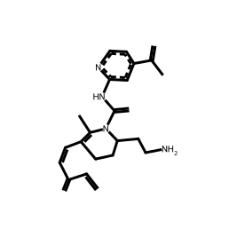 C=CC(=C)/C=C\C1=C(C)N(C(=C)Nc2cc(C(=C)C)ccn2)C(CCN)CC1